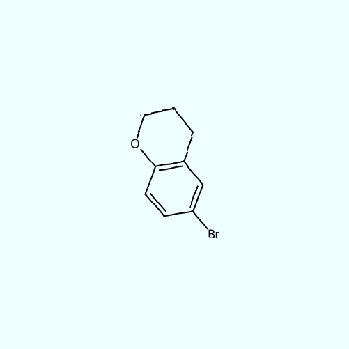 Brc1ccc2c(c1)CC[CH]O2